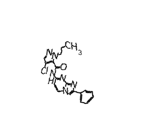 CCCn1ncc(Cl)c1C(=O)Nc1ccn2cc(-c3ccccc3)nc2n1